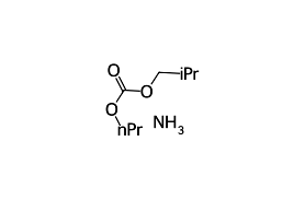 CCCOC(=O)OCC(C)C.N